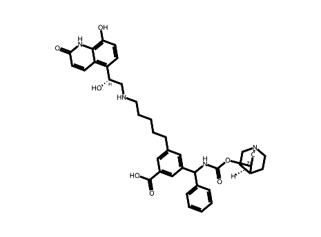 O=C(NC(c1ccccc1)c1cc(CCCCCNC[C@H](O)c2ccc(O)c3[nH]c(=O)ccc23)cc(C(=O)O)c1)O[C@H]1CN2CCC1CC2